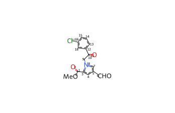 COC(=O)c1cc(C=O)cn1CC(=O)c1cccc(Cl)c1